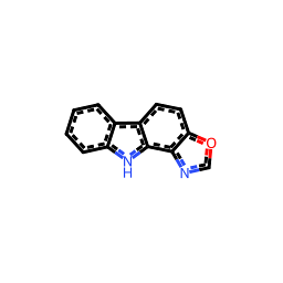 c1ccc2c(c1)[nH]c1c2ccc2ocnc21